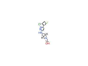 CC(C)(O)CN1C[C@H]2C[C@H](Nc3ccc(-c4cc(F)ccc4Cl)nn3)C[C@H]2C1